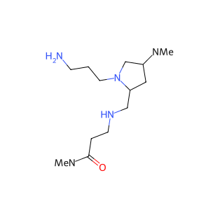 CNC(=O)CCNCC1CC(NC)CN1CCCN